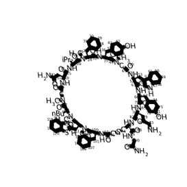 CCCC[C@H]1C(=O)N(C)CC(=O)N[C@@H](CC(N)=O)C(=O)N[C@@H](C(C)C)C(=O)N(C)[C@@H](Cc2ccccc2)C(=O)N[C@@H](Cc2ccc(O)cc2)C(=O)N(C)CC(=O)N[C@@H](Cc2c[nH]c3ccccc23)C(=O)N[C@@H](Cc2ccc(O)cc2)C(=O)N[C@@H](CCCN)C(=O)N[C@H](C(=O)NCC(N)=O)CSCC(=O)N[C@@H](Cc2ccccc2)C(=O)N(C)[C@@H](Cc2nc3ccccc3s2)C(=O)N1C